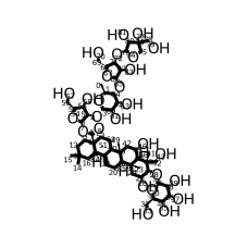 C[C@@H]1O[C@@H](O[C@H]2[C@H](OC(=O)[C@]34CCC(C)(C)C[C@H]3C3=CC[C@@H]5[C@@]6(C)C[C@H](O)[C@H](O[C@@H]7O[C@H](CO)[C@@H](O)[C@H](O)[C@H]7O)[C@@](C)(CO)[C@@H]6[C@H](O)C[C@@]5(C)[C@]3(C)CC4)O[C@@H](CO)[C@@H]2O)[C@H](O)[C@H](O)[C@H]1O[C@@H]1O[C@H](CO)[C@H](O[C@@H]2OC[C@](O)(CO)[C@H]2O)[C@H]1O